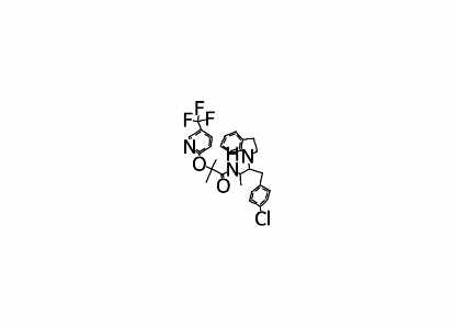 CC(NC(=O)C(C)(C)Oc1ccc(C(F)(F)F)cn1)C(Cc1ccc(Cl)cc1)N1CCc2ccccc21